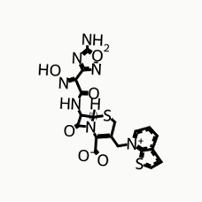 Nc1nc(C(=NO)C(=O)NC2C(=O)N3C(C(=O)[O-])=C(C[n+]4cccc5ccsc54)CS[C@@H]23)no1